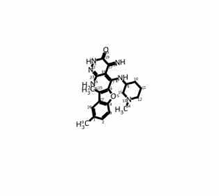 Cc1ccc2oc(/C(NC3CCCN(C)C3)=C3/C(=N)C(=O)NN=C3N)c(C)c2c1